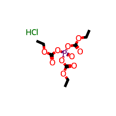 CCOC(=O)OP(=O)(OC(=O)OCC)OC(=O)OCC.Cl